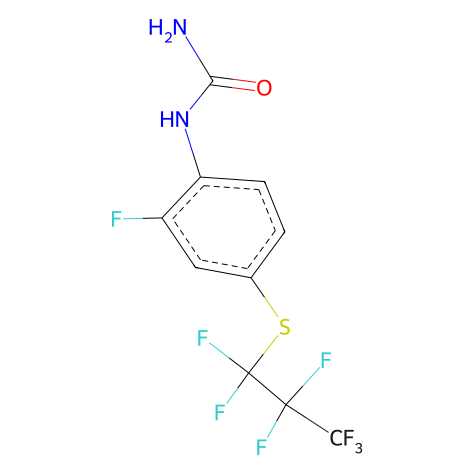 NC(=O)Nc1ccc(SC(F)(F)C(F)(F)C(F)(F)F)cc1F